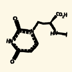 O=C(O)[C@H](Cn1ccc(=O)[nH]c1=O)NI